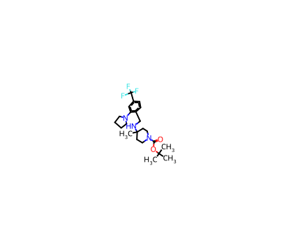 CC1(NCc2ccc(C(F)(F)F)cc2N2CCCC2)CCN(C(=O)OC(C)(C)C)CC1